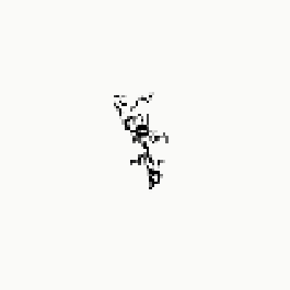 O=C(O)CCC[C@H]1CC[C@@H]2[C@@H](C=C[C@@H](O)COc3cc(F)ccc3F)[C@@H](O)C[C@@H]2OC1